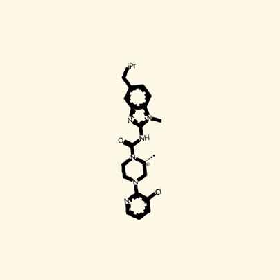 CC(C)Cc1ccc2c(c1)nc(NC(=O)N1CCN(c3ncccc3Cl)C[C@H]1C)n2C